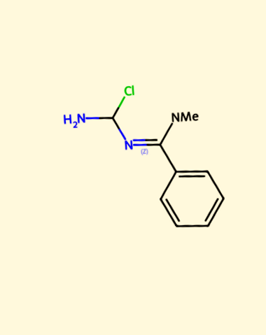 CN/C(=N\C(N)Cl)c1ccccc1